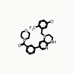 O=C(c1cccc(-c2cnc3c(c2)N(Cc2cc(Cl)ccc2C(F)(F)F)CCN3)c1)N1CCOCC1